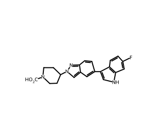 O=C(O)N1CCC(n2cc3cc(-c4c[nH]c5cc(F)ccc45)ccc3n2)CC1